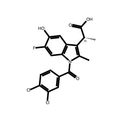 Cc1c([C@@H](C)C(=O)O)c2cc(O)c(F)cc2n1C(=O)c1ccc(Cl)c(Cl)c1